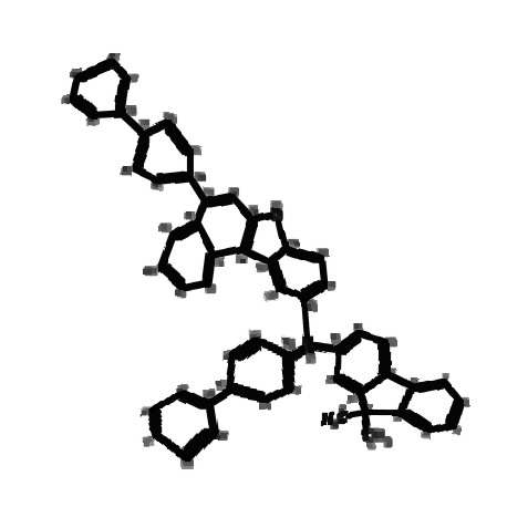 CC1(C)c2ccccc2-c2ccc(N(c3ccc(-c4ccccc4)cc3)c3ccc4oc5cc(-c6ccc(-c7ccccc7)cc6)c6ccccc6c5c4c3)cc21